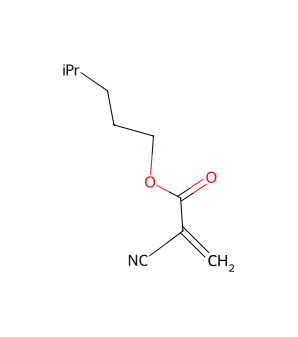 C=C(C#N)C(=O)OCCCC(C)C